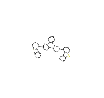 c1ccc2c(c1)sc1cccc(-c3ccc4c5ccc(-c6cccc7sc8ccccc8c67)cc5c5ccccc5c4c3)c12